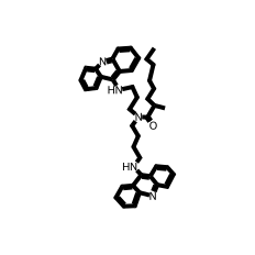 CCCCCCC(C)C(=O)N(CCCCNc1c2ccccc2nc2ccccc12)CCCNc1c2ccccc2nc2ccccc12